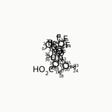 Cc1ccccc1CN(CC(=O)N(Cc1cc(C2CC2)cc(C2CC2)c1)c1ccc(C(=O)O)cc1OC1CC1)S(=O)(=O)c1c(F)c(F)c(F)c(F)c1Br